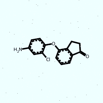 Nc1ccc(Oc2cccc3c2CCC3=O)c(Cl)c1